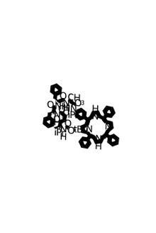 CC(C)C[C@H](NC(=O)OC(C)(C)C)C(=O)C[C@H](C(=O)N[C@@H](Cc1ccccc1)C(=O)N[C@@H](Cc1ccccc1)C(=O)N[C@@H](C)C(=O)Nc1ccc(-c2c3nc(c(-c4ccccc4)c4ccc([nH]4)c(-c4ccccc4)c4nc(c(-c5ccccc5)c5ccc2[nH]5)C=C4)C=C3)cc1)C(C)C